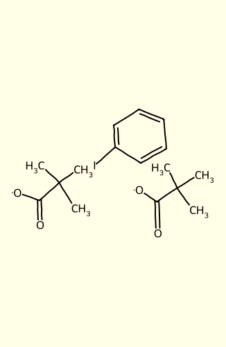 CC(C)(C)C([O])=O.CC(C)(C)C([O])=O.Ic1ccccc1